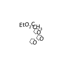 C1CCOC1.C1CCOC1.C1CCOC1.CCOC(C)=O